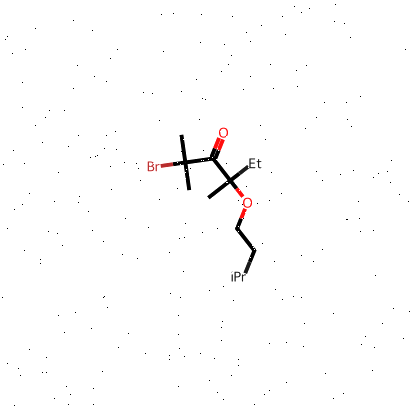 CCC(C)(OCCC(C)C)C(=O)C(C)(C)Br